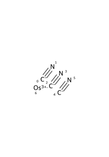 [C-]#N.[C-]#N.[C-]#N.[Os+3]